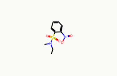 CCN(C)S(=O)(=O)c1ccccc1[N+](=O)[O-]